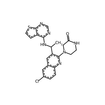 CC(Nc1ncnc2sccc12)c1cc2cc(Cl)ccc2nc1N1CCNC(=O)C1